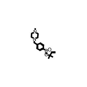 C=C1OB(c2ccc(CN3CCN(C)CC3)cc2)OC1(C)C